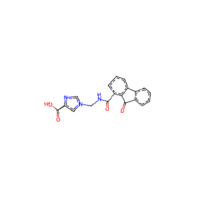 O=C(O)c1cn(CNC(=O)c2cccc3c2C(=O)c2ccccc2-3)cn1